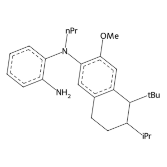 CCCN(c1ccccc1N)c1cc2c(cc1OC)C(C(C)(C)C)C(C(C)C)CC2